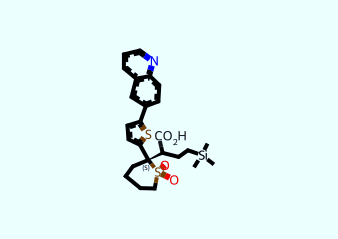 C[Si](C)(C)CCC(C(=O)O)[C@]1(c2ccc(-c3ccc4ncccc4c3)s2)CCCCS1(=O)=O